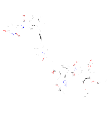 CCOc1cc([C@@H](CS(C)(=O)=O)N2C(=O)c3cc(C(=O)CCCC(=O)N4CCC(C#Cc5cccc6c5CN(C5CCC(=O)NC5=O)C6=O)CC4)cc(NC(C)=O)c3C2=O)ccc1OC